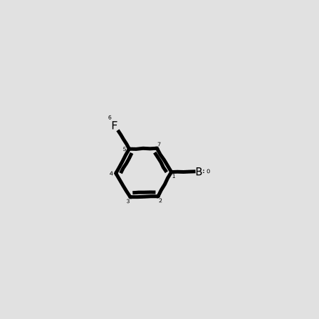 [B]c1cccc(F)c1